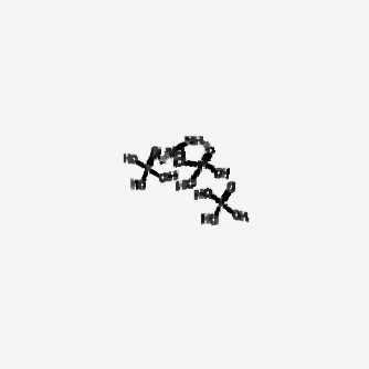 NN.O=P(O)(O)O.O=P(O)(O)O.O=P(O)(O)O